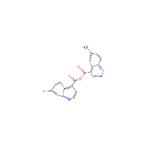 Cc1ccc2nccc(C(=O)OC(=O)c3ccnc4cc(Cl)ccc34)c2c1